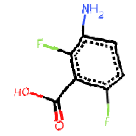 Nc1ccc(F)c(C(=O)O)c1F